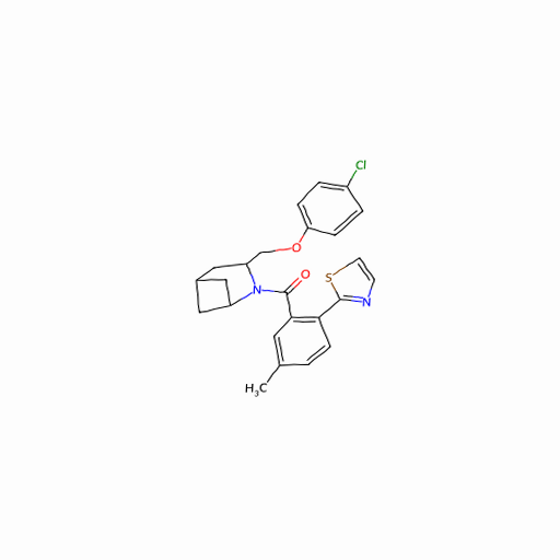 Cc1ccc(-c2nccs2)c(C(=O)N2C(COc3ccc(Cl)cc3)CC3CC2C3)c1